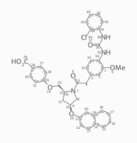 COc1cc(CC(=O)N2C[C@@H](Oc3ccc4ccccc4c3)C[C@H]2COc2ccc(C(=O)O)cc2)ccc1NC(=O)Nc1ccccc1Cl